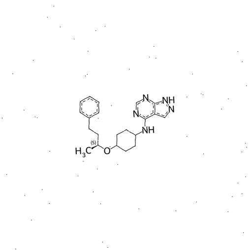 C[C@@H](CCc1ccccc1)OC1CCC(Nc2ncnc3[nH]ncc23)CC1